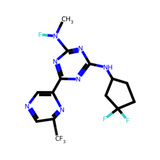 CN(F)c1nc(NC2CCC(F)(F)C2)nc(-c2cncc(C(F)(F)F)n2)n1